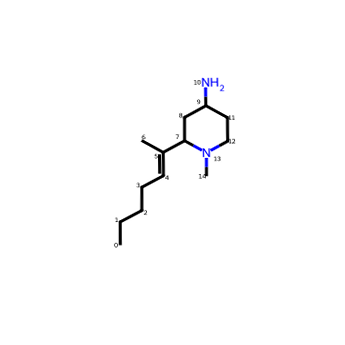 CCCCC=C(C)C1CC(N)CCN1C